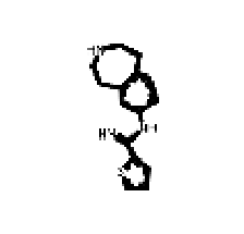 N=C(Nc1ccc2c(c1)CCNCC2)c1cccs1